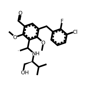 [CH2]C(N[C@H](CO)C(C)C)c1c(OC)c(C=O)cc(Cc2cccc(Cl)c2F)c1OC